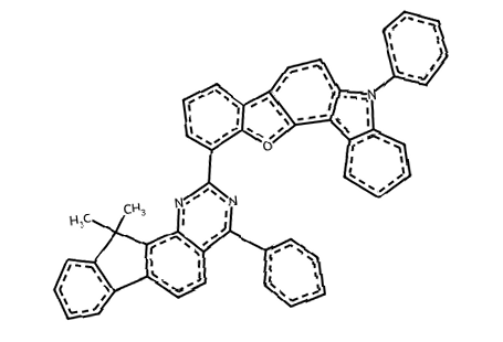 CC1(C)c2ccccc2-c2ccc3c(-c4ccccc4)nc(-c4cccc5c4oc4c5ccc5c4c4ccccc4n5-c4ccccc4)nc3c21